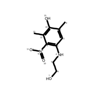 Cc1cc(NCCO)c([N+](=O)[O-])c(C)c1O